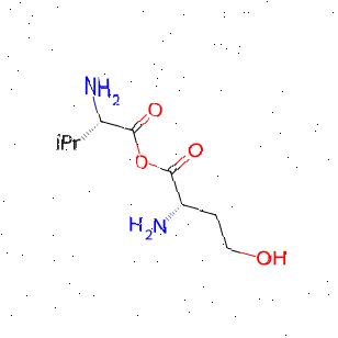 CC(C)[C@H](N)C(=O)OC(=O)[C@@H](N)CCO